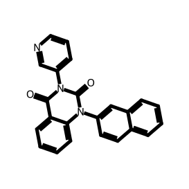 O=c1c2ccccc2n(-c2ccc3ccccc3c2)c(=O)n1-c1cccnc1